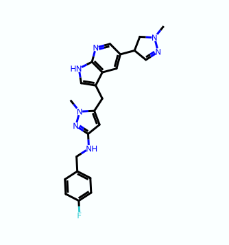 CN1CC(c2cnc3[nH]cc(Cc4cc(NCc5ccc(F)cc5)nn4C)c3c2)C=N1